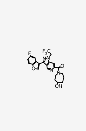 O=C(c1cc2c(cn1)c(-c1coc3ccc(F)cc13)nn2CC(F)(F)F)N1CCCC(O)CC1